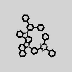 c1ccc(-c2cc(-c3ccccc3)cc(-n3c4ccccc4c4c5c6ccc7ccccc7c6n(-c6cccc(-c7nc(-c8ccccc8)nc(-c8ccccc8)n7)c6)c5ccc43)c2)cc1